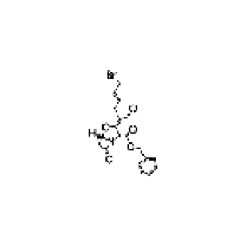 O=CC(CC=CCBr)=C1O[C@@H]2CC(=O)N2C1C(=O)OCc1ccccc1